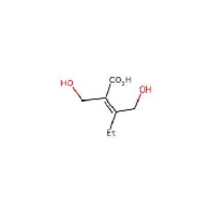 CCC(CO)=C(CO)C(=O)O